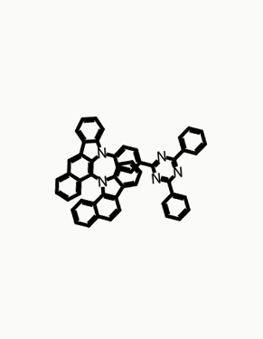 c1ccc(-c2nc(-c3ccccc3)nc(-c3ccc(-n4c5ccccc5c5cc6ccccc6c(-n6c7ccccc7c7ccc8ccccc8c76)c54)cc3)n2)cc1